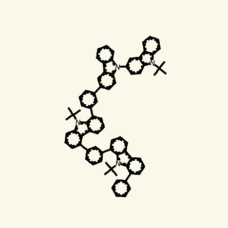 CC(C)(C)n1c2ccccc2c2cc(-n3c4ccccc4c4cc(-c5cccc(-c6cccc7c8c(-c9cccc(-c%10cccc%11c%12cccc(-c%13ccccc%13)c%12n(C(C)(C)C)c%10%11)c9)cccc8n(C(C)(C)C)c67)c5)ccc43)ccc21